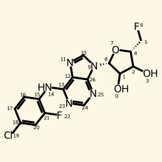 OC1C(O)[C@@H](CF)O[C@H]1n1cnc2c(Nc3ccc(Cl)cc3F)ncnc21